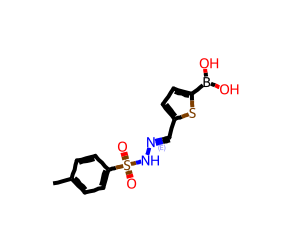 Cc1ccc(S(=O)(=O)N/N=C/c2ccc(B(O)O)s2)cc1